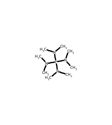 CN(C)[P](N(C)C)(N(C)C)N(C)C